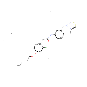 Br.CCCCCCCCCCCCCCOc1ccc(CC(=O)Nc2cccc(CN3CSC=C3C)c2)c(Cl)c1